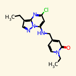 CCc1cnn2c(NCc3ccn(CC)c(=O)c3)cc(Cl)nc12